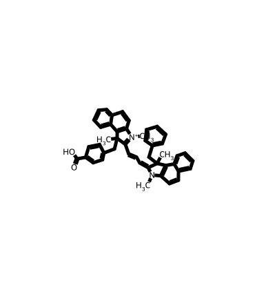 CN1/C(=C/C=C/C2=[N+](C)c3ccc4ccccc4c3C2(C)Cc2ccc(C(=O)O)cc2)C(C)(Cc2ccccc2)c2c1ccc1ccccc21